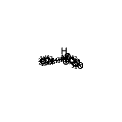 O=c1ccc2cc(S(=O)(=O)NCCCCCN3CCc4ccccc4C3)ccc2o1